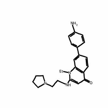 CCn1c(NCCN2CCCC2)cc(=O)c2ccc(-c3ccc(N)cc3)cc21